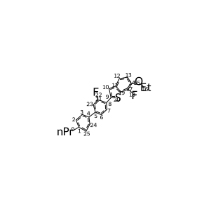 CCCc1ccc(-c2ccc(-c3cc4ccc(OCC)c(F)c4s3)c(F)c2)cc1